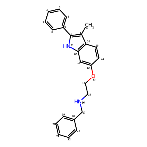 Cc1c(-c2ccccc2)[nH]c2cc(OCCNCc3ccccc3)ccc12